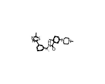 Cc1nnc(-c2cccc([C@@H](C)NC(=O)c3cc(N4CCN(C)CC4)ccc3C)c2)s1